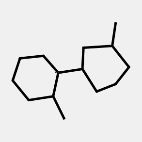 CC1CCCC([C]2CCCCC2C)C1